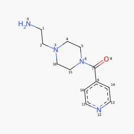 NCCN1CCN(C(=O)c2ccncc2)CC1